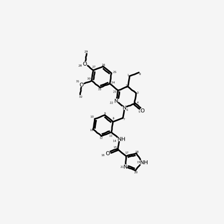 CCC1CC(=O)N(Cc2ccccc2NC(=O)c2c[nH]cn2)N=C1c1ccc(OC)c(OC)c1